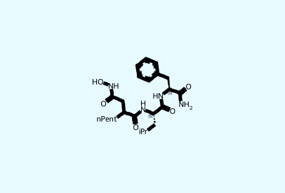 CCCCCC(CC(=O)NO)C(=O)N[C@@H](CC(C)C)C(=O)N[C@@H](Cc1ccccc1)C(N)=O